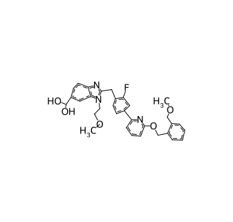 COCCn1c(Cc2ccc(-c3cccc(OCc4ccccc4COC)n3)cc2F)nc2ccc(C(O)O)cc21